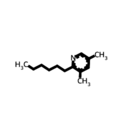 CCCCCCc1ncc(C)cc1C